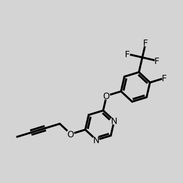 CC#CCOc1cc(Oc2ccc(F)c(C(F)(F)F)c2)ncn1